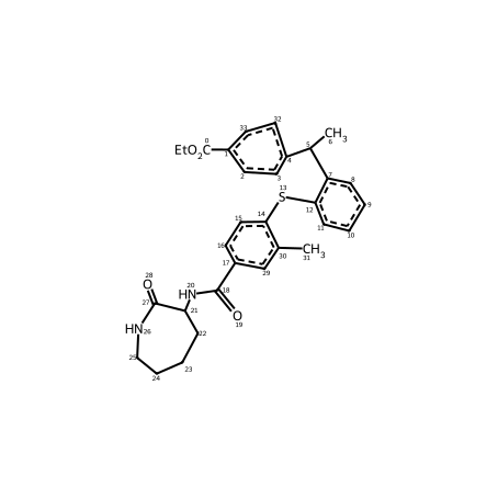 CCOC(=O)c1ccc(C(C)c2ccccc2Sc2ccc(C(=O)NC3CCCCNC3=O)cc2C)cc1